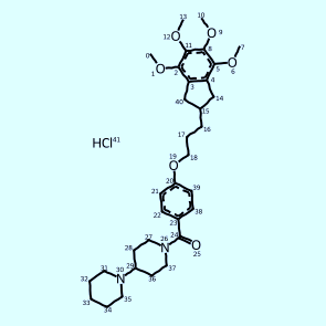 COc1c2c(c(OC)c(OC)c1OC)CC(CCCOc1ccc(C(=O)N3CCC(N4CCCCC4)CC3)cc1)C2.Cl